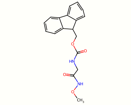 CONC(=O)CNC(=O)OCC1c2ccccc2-c2ccccc21